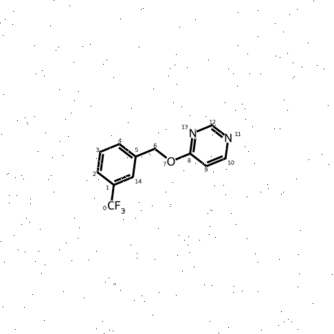 FC(F)(F)c1cccc(COc2ccncn2)c1